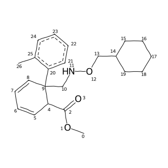 COC(=O)C1C=CC=CC1(CNOCC1CCCCC1)c1ccccc1C